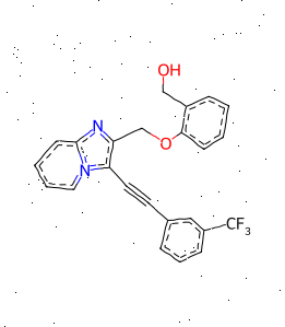 OCc1ccccc1OCc1nc2ccccn2c1C#Cc1cccc(C(F)(F)F)c1